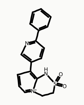 O=S1(=O)CC[n+]2cccc(-c3ccc(-c4ccccc4)nc3)c2N1